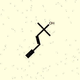 C#CC=CC(C)(C)O